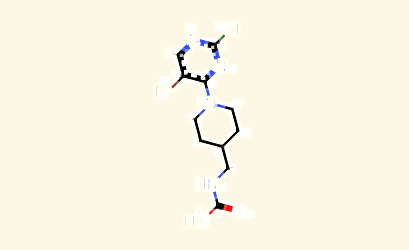 O=C(O)NCC1CCN(c2nc(Cl)ncc2Br)CC1